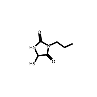 CCCN1C(=O)NC(S)C1=O